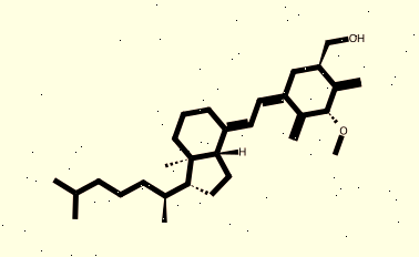 C=C1/C(=C\C=C2/CCC[C@]3(C)[C@@H]([C@@H](C)CCCC(C)C)CC[C@@H]23)C[C@@H](CO)C(=C)[C@@H]1OC